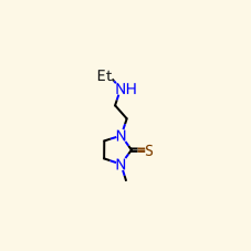 CCNCCN1CCN(C)C1=S